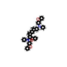 CC1(C)c2cc(N(c3ccccc3)c3ccc4oc5ccccc5c4c3)ccc2-c2cc3c(cc21)C(C)(C)c1cc(N(c2ccccc2)c2ccc4oc5ccccc5c4c2)c2oc4ccccc4c2c1-3